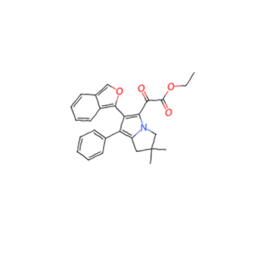 CCOC(=O)C(=O)c1c(-c2occ3ccccc23)c(-c2ccccc2)c2n1CC(C)(C)C2